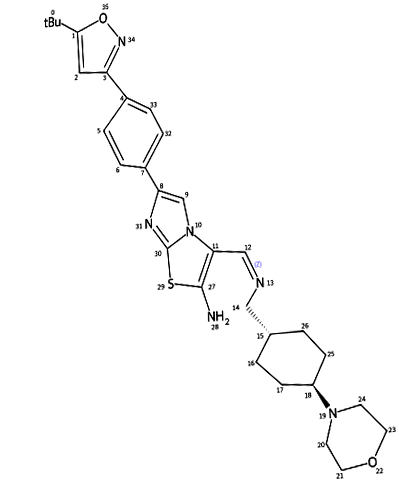 CC(C)(C)c1cc(-c2ccc(-c3cn4c(/C=N\C[C@H]5CC[C@H](N6CCOCC6)CC5)c(N)sc4n3)cc2)no1